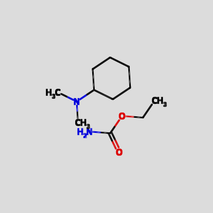 CCOC(N)=O.CN(C)C1CCCCC1